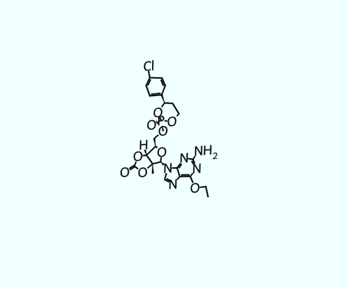 CCOc1nc(N)nc2c1ncn2[C@@H]1O[C@H](CO[P@]2(=O)OCC[C@H](c3ccc(Cl)cc3)O2)[C@H]2OC(=O)O[C@]21C